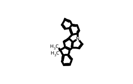 CC1(C)c2ccccc2-c2c1cc1c3c4ccccc4ccc3n3ccc2c13